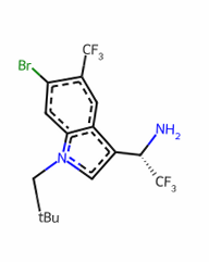 CC(C)(C)Cn1cc([C@H](N)C(F)(F)F)c2cc(C(F)(F)F)c(Br)cc21